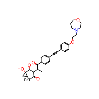 CCCC(=O)C(C(=O)C1(O)CC1)C(C)C(=O)c1ccc(C#Cc2ccc(OCCN3CCCOCC3)cc2)cc1